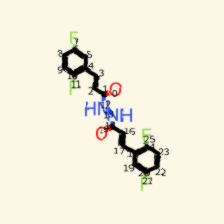 O=C(/C=C/c1cc(F)ccc1F)NNC(=O)/C=C/c1cc(F)ccc1F